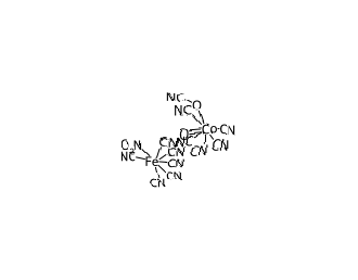 N#C[O][Co](=[O])([C]#N)([C]#N)([C]#N)([C]#N)[C]#N.N#[C][Fe]([C]#N)([C]#N)([C]#N)([C]#N)([C]#N)[N+](=O)[O-]